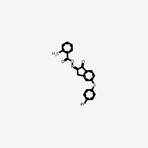 Cc1ccccc1C(=O)O/N=C1/Cc2cc(Sc3ccc(C(C)C)cc3)ccc2C1=O